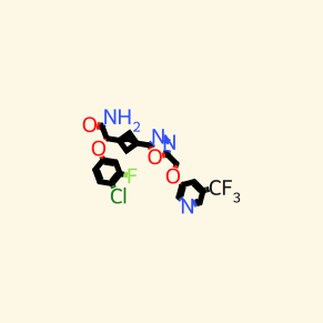 NC(=O)C(Oc1ccc(Cl)c(F)c1)C12CC(c3nnc(COc4cncc(C(F)(F)F)c4)o3)(C1)C2